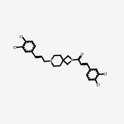 O=C(/C=C/c1ccc(Cl)c(Cl)c1)N1CC2(CCN(C/C=C/c3ccc(Cl)c(Cl)c3)CC2)C1